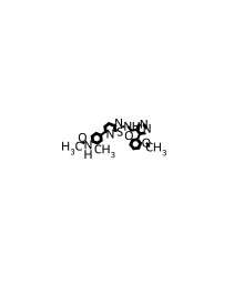 COc1ccccc1-c1cnncc1C(=O)Nc1nc2ccc(-c3ccc(NC(C)=O)c(C)c3)nc2s1